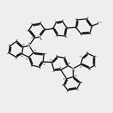 Fc1ccc(-c2ccc(-c3cccc(-n4c5ccccc5c5ccc(-c6ccc7c(c6)c6ccccc6n7-c6ccccc6)cc54)n3)cc2)cc1